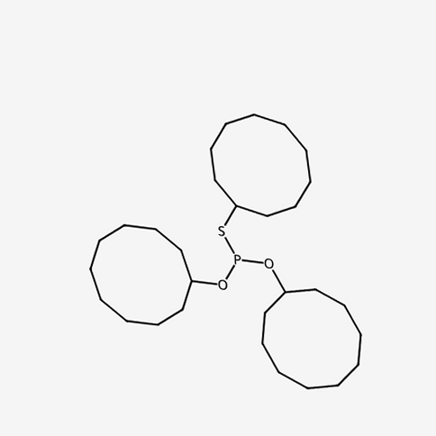 C1CCCCC(OP(OC2CCCCCCCCC2)SC2CCCCCCCCC2)CCCC1